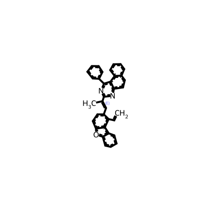 C=Cc1c(/C=C(\C)c2nc(-c3ccccc3)c3c(ccc4ccccc43)n2)ccc2oc3ccccc3c12